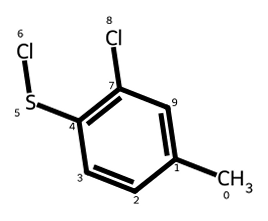 Cc1ccc(SCl)c(Cl)c1